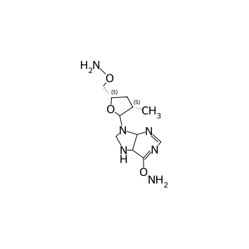 C[C@H]1C[C@@H](CON)OC1N1CNC2C(ON)=NC=NC21